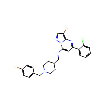 Clc1ccccc1-c1cc(NCC2CCN(Cc3ccc(Br)cc3)CC2)n2ncc(Br)c2n1